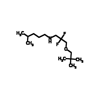 CC(C)CCCNCC(F)(F)COCC(C)(C)C